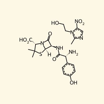 CC1(C)S[C@@H]2[C@H](NC(=O)[C@H](N)c3ccc(O)cc3)C(=O)N2[C@H]1C(=O)O.Cc1ncc([N+](=O)[O-])n1CCO